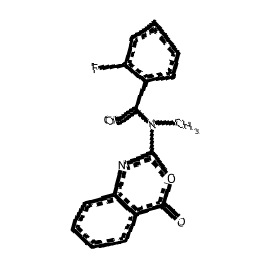 CN(C(=O)c1ccccc1F)c1nc2ccccc2c(=O)o1